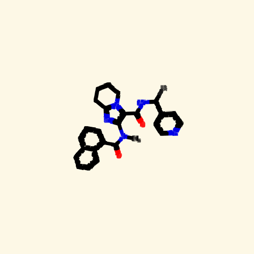 CCC(NC(=O)c1c(N(C)C(=O)c2cccc3ccccc23)nc2n1CCCC2)c1ccncc1